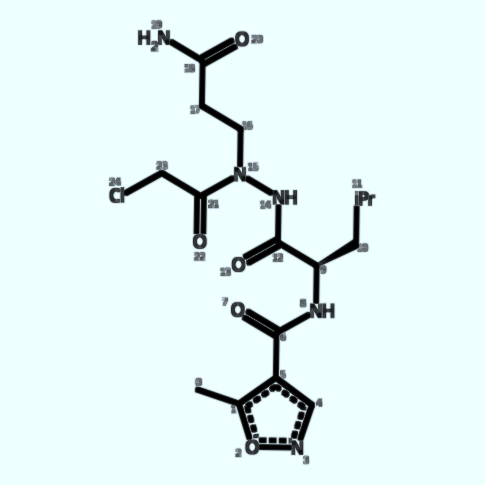 Cc1oncc1C(=O)N[C@H](CC(C)C)C(=O)NN(CCC(N)=O)C(=O)CCl